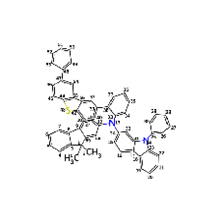 CC1(C)c2ccccc2-c2ccc(N(c3ccc4c5ccccc5n(-c5ccccc5)c4c3)c3ccccc3-c3ccc4sc5ccc(-c6ccccc6)cc5c4c3)cc21